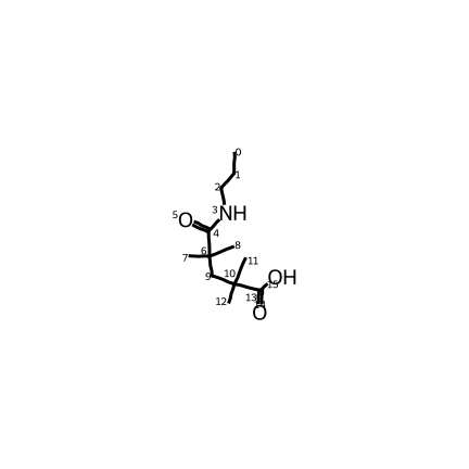 CCCNC(=O)C(C)(C)CC(C)(C)C(=O)O